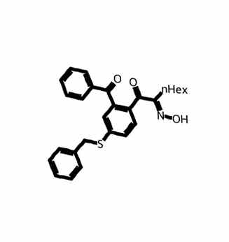 CCCCCCC(=NO)C(=O)c1ccc(SCc2ccccc2)cc1C(=O)c1ccccc1